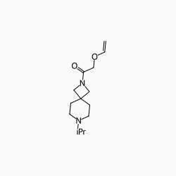 C=COCC(=O)N1CC2(CCN(C(C)C)CC2)C1